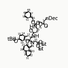 CCCCCCCCCCCC(=O)OC[C@H](CC(=O)N[C@@H](Cc1ccc(OC(C)(C)C)cc1)C(=O)N(Cc1cccc2ccccc12)CC(OCC)OCC)NC(=O)OCc1ccccc1